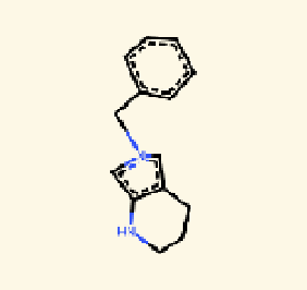 c1ccc(Cn2cc3c(c2)NCCC3)cc1